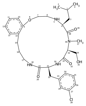 CC(C)C[C@@H]1NCCOc2ccccc2CCCNC(=O)[C@H](Cc2cccc(Cl)c2)NC(=O)[C@H](CO)N(C)C1=O